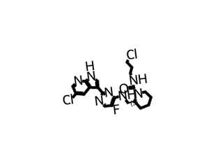 O=C(NCCCCl)N1CCCC[C@H]1CNc1nc(-c2c[nH]c3ncc(Cl)cc23)ncc1F